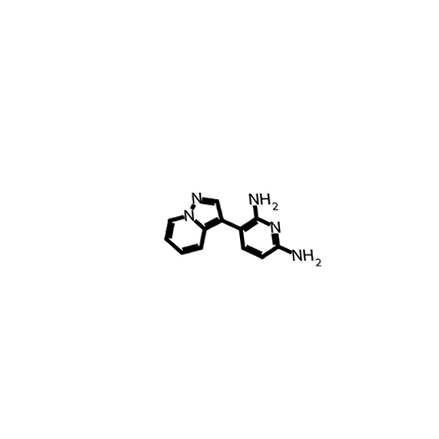 Nc1ccc(-c2cnn3ccccc23)c(N)n1